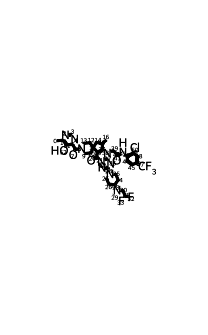 Cc1ncnc(C(=O)N2CCC3(CC2)CC(C)c2c3c(=O)n3nc(N4CCC(N(C)CC(F)F)CC4)nc3n2CC(=O)Nc2ccc(C(F)(F)F)cc2Cl)c1O